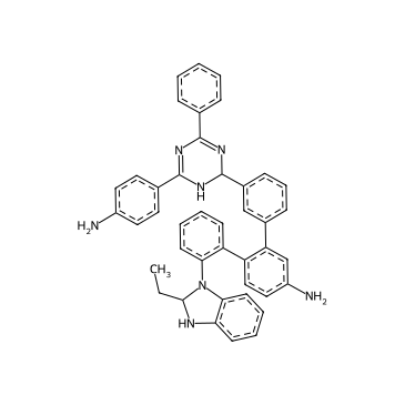 CCC1Nc2ccccc2N1c1ccccc1-c1ccc(N)cc1-c1cccc(C2N=C(c3ccccc3)N=C(c3ccc(N)cc3)N2)c1